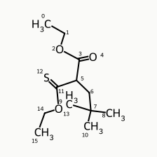 CCOC(=O)C(CC(C)(C)C)C(=S)OCC